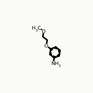 COCCOc1cccc(N)c1